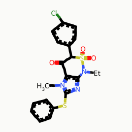 CCN1c2nc(Sc3ccccc3)n(C)c2C(=O)C(c2ccc(Cl)cc2)S1(=O)=O